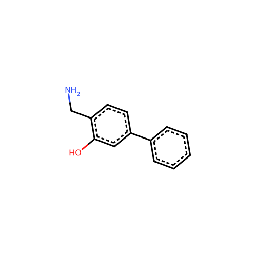 NCc1ccc(-c2ccccc2)cc1O